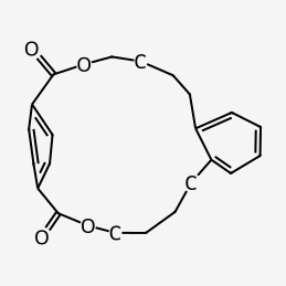 O=C1OCCCCc2ccccc2CCCCOC(=O)c2ccc1cc2